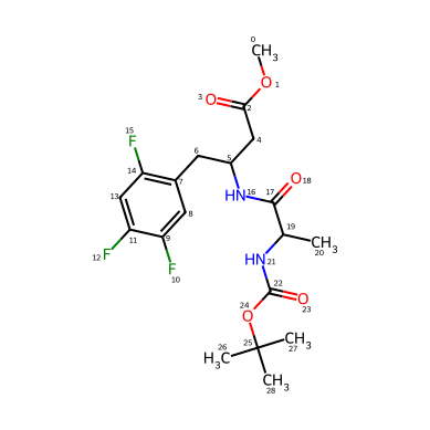 COC(=O)CC(Cc1cc(F)c(F)cc1F)NC(=O)C(C)NC(=O)OC(C)(C)C